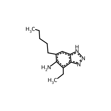 CCCCCc1cc2[nH]nnc2c(CC)c1N